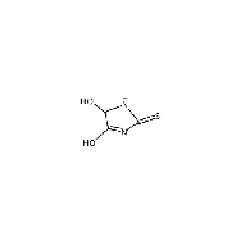 OC1=NC(=S)NC1O